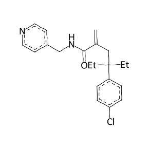 C=C(CC(CC)(CC)c1ccc(Cl)cc1)C(=O)NCc1ccncc1